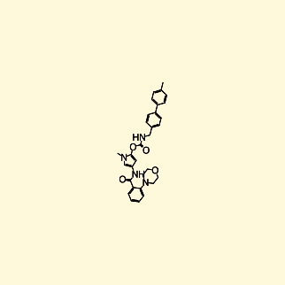 Cc1ccc(-c2ccc(CNC(=O)Oc3cc(NC(=O)c4ccccc4N4CCOCC4)cn3C)cc2)cc1